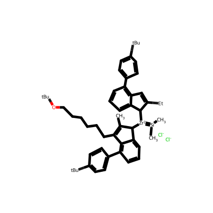 CCC1=Cc2c(-c3ccc(C(C)(C)C)cc3)cccc2[CH]1[Zr+2]([CH]1C(C)=C(CCCCCCOC(C)(C)C)c2c(-c3ccc(C(C)(C)C)cc3)cccc21)=[Si](C)C.[Cl-].[Cl-]